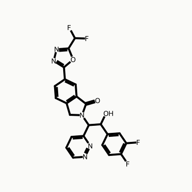 O=C1c2cc(-c3nnc(C(F)F)o3)ccc2CN1C(c1cccnn1)C(O)c1ccc(F)c(F)c1